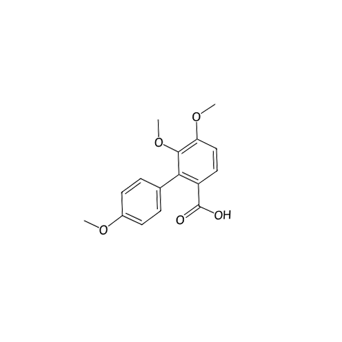 COc1ccc(-c2c(C(=O)O)ccc(OC)c2OC)cc1